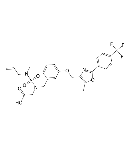 C=CCN(C)S(=O)(=O)N(CC(=O)O)Cc1cccc(OCc2nc(-c3ccc(C(F)(F)F)cc3)oc2C)c1